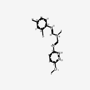 COc1ccc(N=CN(C)C=Nc2ccc(C)cc2C)nn1